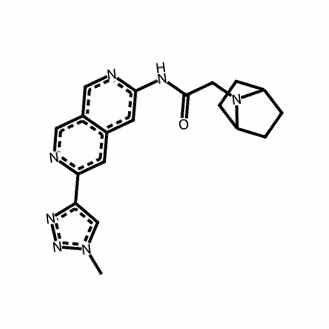 Cn1cc(-c2cc3cc(NC(=O)CN4C5CCC4CC5)ncc3cn2)nn1